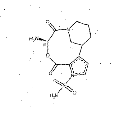 N[C@@H]1OC(=O)c2c(ccn2S(N)(=O)=O)C2CCCN(C2)C1=O